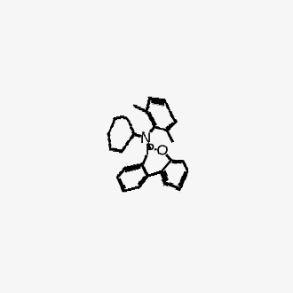 Cc1cccc(C)c1N(C1CCCCC1)P1Oc2ccccc2-c2ccccc21